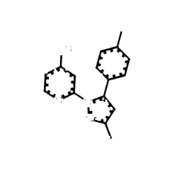 Cc1ccc(-c2cc(C)nn2-c2cc(C#N)ccn2)cc1